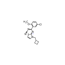 COc1ccc(Cl)cc1C(=NC#N)/N=c1\sccn1CC1CCC1